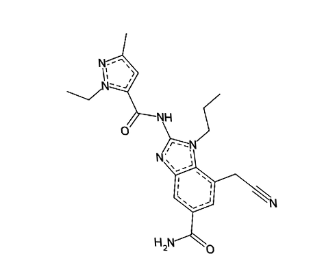 CCCn1c(NC(=O)c2cc(C)nn2CC)nc2cc(C(N)=O)cc(CC#N)c21